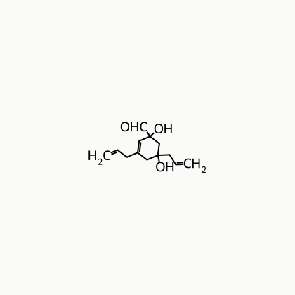 C=CCC1=CC(O)(C=O)CC(O)(CC=C)C1